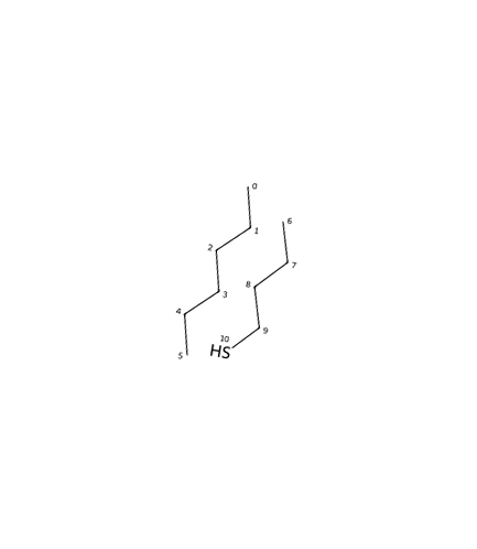 CCCCCC.CCCCS